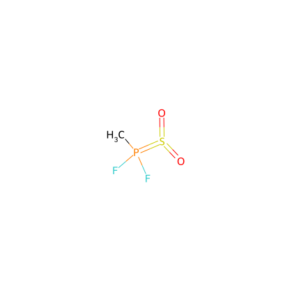 CP(F)(F)=S(=O)=O